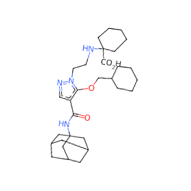 O=C(NC12CC3CC(CC(C3)C1)C2)c1cnn(CCNC2(C(=O)O)CCCCC2)c1OCC1CCCCC1